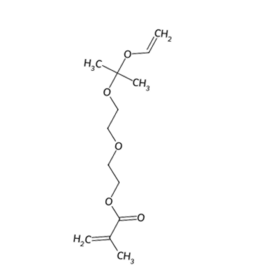 C=COC(C)(C)OCCOCCOC(=O)C(=C)C